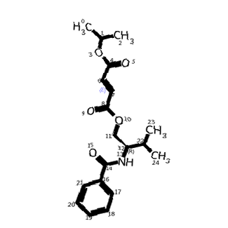 CC(C)OC(=O)/C=C/C(=O)OC[C@H](NC(=O)c1ccccc1)C(C)C